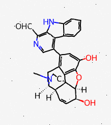 CN1CC[C@]23c4c5c(-c6cnc([C]=O)c7[nH]c8ccccc8c67)cc(O)c4O[C@H]2[C@@H](O)C=C[C@H]3[C@H]1C5